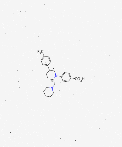 O=C(O)c1ccc(N2CC(c3ccc(C(F)(F)F)cc3)CC[C@H]2CN2CCCCC2)cc1